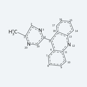 Cc1cnc(-c2c3ccccc3nc3ccccc23)cn1